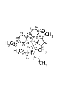 CCC[CH2][Hf]1([CH2]C(CC)(C2=CC=CC2)C2c3cc(OC)ccc3-c3ccc(OC)cc32)[CH2][CH]1C